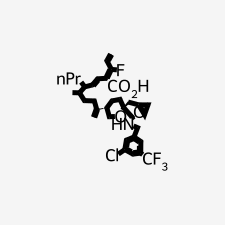 C=C/C(F)=C(\C=C\C(CCC)C(C)CCC(=C)[C@@H]1CC[C@](CC2CC2)(C(=O)NCc2cc(Cl)cc(C(F)(F)F)c2)OC1)C(=O)O